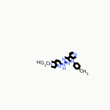 C[C@H]1CC[C@H](n2c3cnccc3c3cnc(Nc4ccc5c(n4)CCN(C(=O)O)C5)nc32)CC1